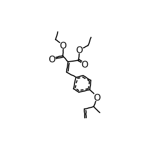 C=CC(C)Oc1ccc(C=C(C(=O)OCC)C(=O)OCC)cc1